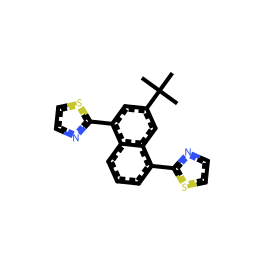 CC(C)(C)c1cc(-c2nccs2)c2cccc(-c3nccs3)c2c1